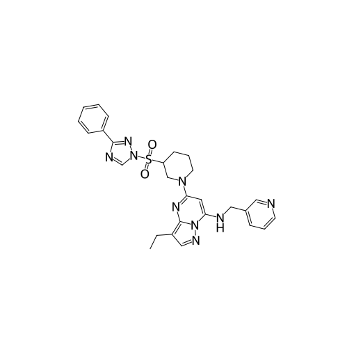 CCc1cnn2c(NCc3cccnc3)cc(N3CCCC(S(=O)(=O)n4cnc(-c5ccccc5)n4)C3)nc12